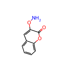 NOc1cc2ccccc2oc1=O